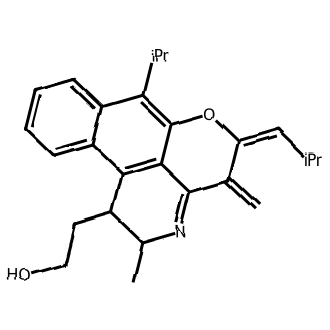 C=C1C2=NC(C)C(CCO)c3c2c(c(C(C)C)c2ccccc32)O/C1=C/C(C)C